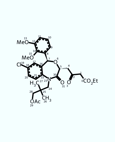 CCOC(=O)CC(=O)C[C@H]1O[C@H](c2cccc(OC)c2OC)c2cc(Cl)ccc2N(CC(C)(C)COC(C)=O)C1=O